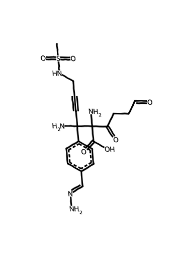 CS(=O)(=O)NCC#CC(N)(c1ccc(C=NN)cc1)C(N)(C(=O)O)C(=O)CCC=O